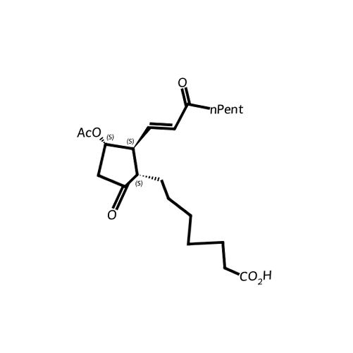 CCCCCC(=O)C=C[C@@H]1[C@@H](OC(C)=O)CC(=O)[C@H]1CCCCCCC(=O)O